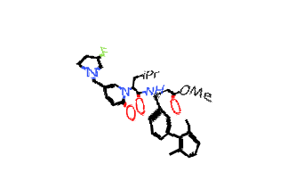 COC(=O)C[C@H](NC(=O)C(CC(C)C)n1cc(CN2CCC(F)C2)ccc1=O)c1cccc(-c2c(C)cccc2C)c1